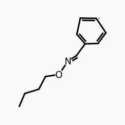 CCCCON=Cc1cc[c]cc1